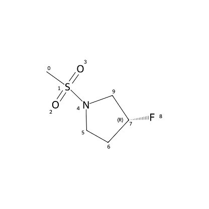 CS(=O)(=O)N1CC[C@@H](F)C1